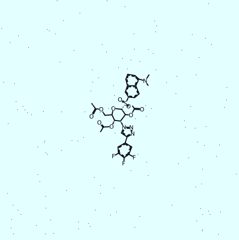 CC(=O)OCC1O[C@H](S(=O)(=O)c2ccc3c(N(C)C)cccc3c2)C(OC(C)=O)[C@@H](n2cc(-c3cc(F)c(F)c(F)c3)nn2)[C@H]1OC(C)=O